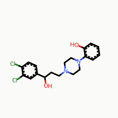 Oc1ccccc1N1CCN(CCC(O)c2ccc(Cl)c(Cl)c2)CC1